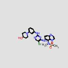 CN(c1c(Nc2nc(Nc3cccc(N4CCC(O)CC4)c3)ncc2Br)ccc2nccnc12)S(C)(=O)=O